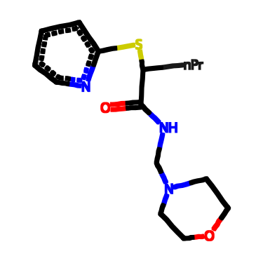 CCCC(Sc1ccccn1)C(=O)NCN1CCOCC1